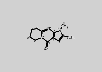 Cc1cc2c(=O)n3c(nc2n1C)CCCC3